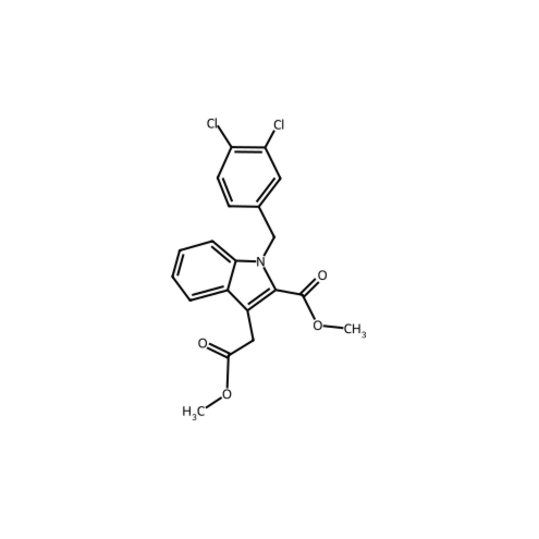 COC(=O)Cc1c(C(=O)OC)n(Cc2ccc(Cl)c(Cl)c2)c2ccccc12